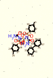 Cc1ccc(S(=O)(=O)N(C(N)=O)S(=O)(=O)N(C(N)=O)S(=O)(=O)c2ccc(C)cc2)cc1.c1ccc(-c2ccccc2)cc1